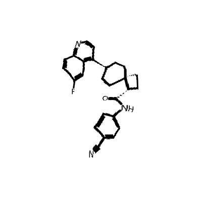 N#Cc1ccc(NC(=O)[C@H]2CC[C@]23CC[C@H](c2ccnc4ccc(F)cc42)CC3)cc1